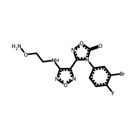 NOCCNc1nonc1-c1noc(=O)n1-c1ccc(F)c(Br)c1